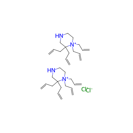 C=CCC1(CC=C)CNCC[N+]1(CC=C)CC=C.C=CCC1(CC=C)CNCC[N+]1(CC=C)CC=C.[Cl-].[Cl-]